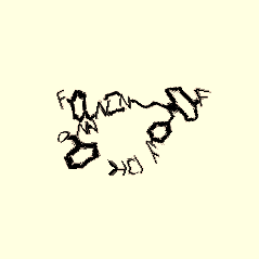 Cl.O=C(c1ccccc1)n1nc(N2CCN(CCCC(c3ccc(F)cc3)c3ccc(F)cc3)CC2)c2ccc(F)cc21